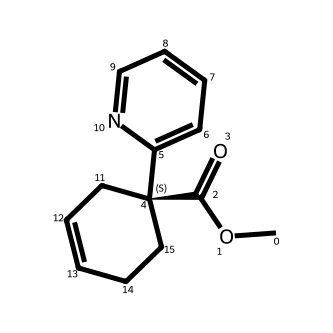 COC(=O)[C@]1(c2ccccn2)CC=CCC1